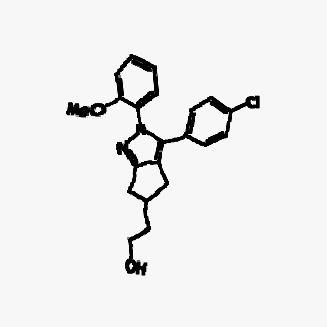 COc1ccccc1-n1nc2c(c1-c1ccc(Cl)cc1)CC(CCO)C2